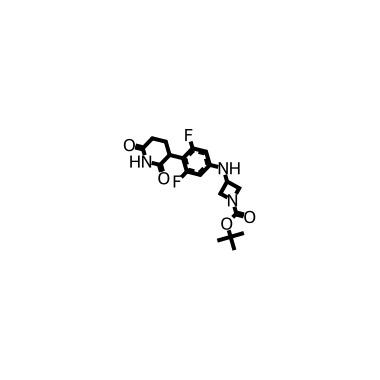 CC(C)(C)OC(=O)N1CC(Nc2cc(F)c(C3CCC(=O)NC3=O)c(F)c2)C1